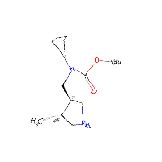 C[C@H]1CNC[C@@H]1CN(C(=O)OC(C)(C)C)C1CC1